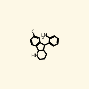 Nc1ccccc1C1c2cc(Cl)ccc2C2NCCCC21